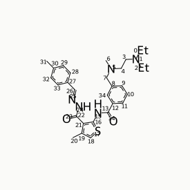 CCN(CC)CCN(C)Cc1cccc(C(=O)Nc2scc(C)c2C(=O)NN=Cc2ccc(C)cc2)c1